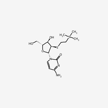 C[Si](C)(C)CCS[C@@H]1[C@H](O)[C@@H](CO)O[C@H]1n1ccc(N)nc1=O